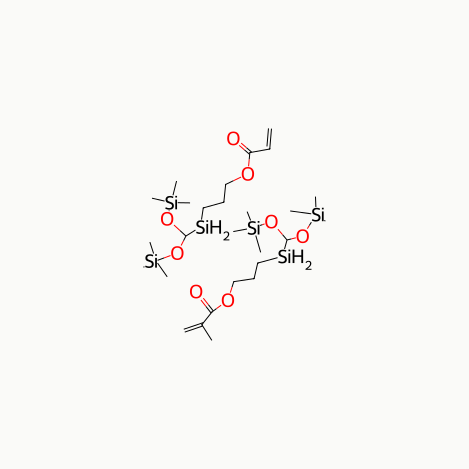 C=C(C)C(=O)OCCC[SiH2]C(O[Si](C)(C)C)O[Si](C)(C)C.C=CC(=O)OCCC[SiH2]C(O[Si](C)(C)C)O[Si](C)(C)C